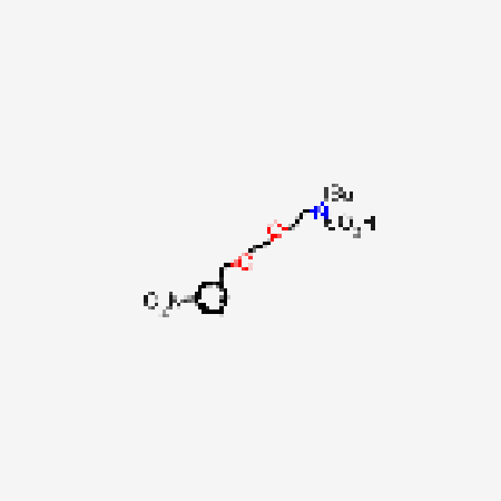 CC(C)(C)N(CCOCCOCc1cccc([N+](=O)[O-])c1)C(=O)O